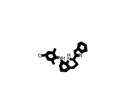 Cc1cc(Cl)cc(C)c1Nc1cccc2c1NC(C1=Nc3ccccc3C1)CC2